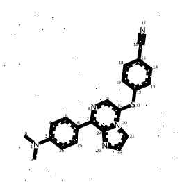 CN(C)c1ccc(-c2ncc(Sc3ccc(C#N)cc3)n3ccnc23)cc1